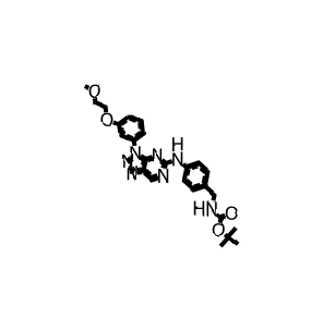 COCCOc1cccc(-n2nnc3cnc(Nc4ccc(CNC(=O)OC(C)(C)C)cc4)nc32)c1